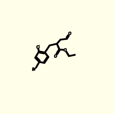 CCOC(=O)C(CC=O)Cc1ccc(Br)cc1Cl